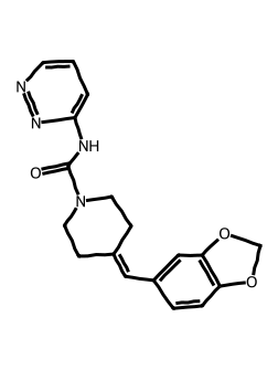 O=C(Nc1cccnn1)N1CCC(=Cc2ccc3c(c2)OCO3)CC1